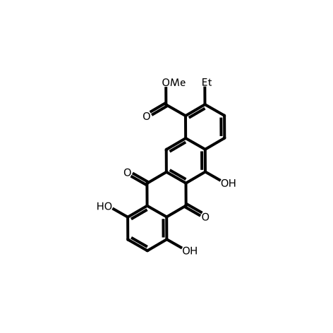 CCc1ccc2c(O)c3c(cc2c1C(=O)OC)C(=O)c1c(O)ccc(O)c1C3=O